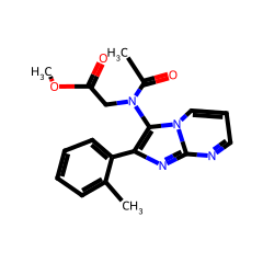 COC(=O)CN(C(C)=O)c1c(-c2ccccc2C)nc2ncccn12